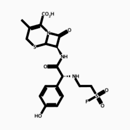 CC1=C(C(=O)O)N2C(=O)[C@@H](NC(=O)[C@H](NCCS(=O)(=O)F)c3ccc(O)cc3)C2SC1